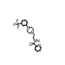 O=C(NCCN1CCN(c2cccc(C(F)(F)F)c2)CC1)c1ccccn1